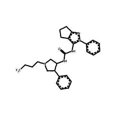 O=C(Nc1c2c(nn1-c1ccccc1)CCC2)NC1CN(CCCC(F)(F)F)CC1c1ccccc1